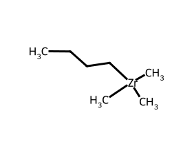 CCC[CH2][Zr]([CH3])([CH3])[CH3]